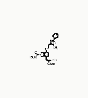 COC(C=O)Cc1ccc(OCCc2nc(-c3ccccc3)oc2C)c2c1CN(C(=O)OC(C)(C)C)C2